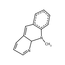 CN1c2ccccc2C=C2C=CC=NC21